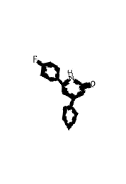 O=c1cc(-c2ccccc2)cc(-c2ccc(F)cc2)[nH]1